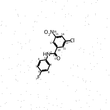 O=C(Nc1ccc(F)cc1)c1cc(Cl)cc([N+](=O)[O-])c1